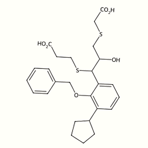 O=C(O)CCSC(c1cccc(C2CCCC2)c1OCc1ccccc1)C(O)CSCC(=O)O